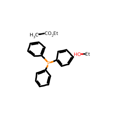 CCO.CCOC(C)=O.c1ccc(P(c2ccccc2)c2ccccc2)cc1